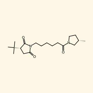 C[C@H]1CCN(C(=O)CCCCCN2C(=O)C[C@H](C(C)(C)C)C2=O)C1